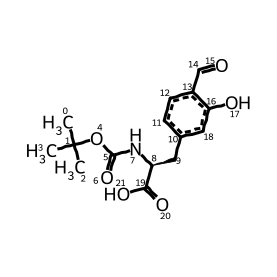 CC(C)(C)OC(=O)N[C@@H](Cc1ccc(C=O)c(O)c1)C(=O)O